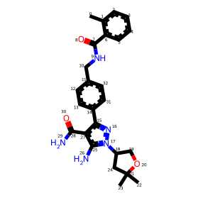 Cc1ccccc1C(=O)NCc1ccc(-c2nn(C3COC(C)(C)C3)c(N)c2C(N)=O)cc1